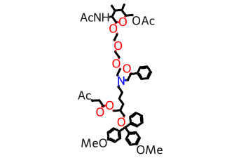 COc1ccc(C(OCC(CCCCN(CCOCCOCCOC2OC(COC(C)=O)C(C)C(C)C2NC(C)=O)CC(=O)c2ccccc2)COC(=O)CCC(C)=O)(c2ccccc2)c2ccc(OC)cc2)cc1